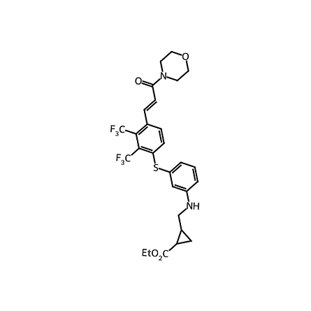 CCOC(=O)C1CC1CNc1cccc(Sc2ccc(C=CC(=O)N3CCOCC3)c(C(F)(F)F)c2C(F)(F)F)c1